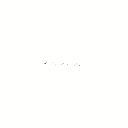 C=CCCCNCCOCCCO